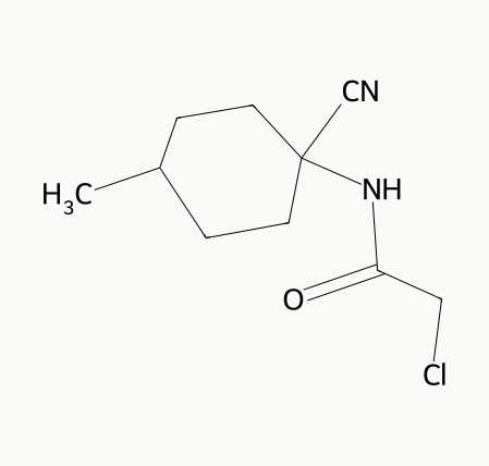 CC1CCC(C#N)(NC(=O)CCl)CC1